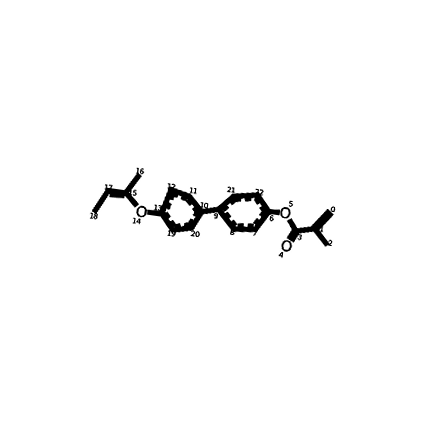 C=C(C)C(=O)Oc1ccc(-c2ccc(O/C(C)=C\C)cc2)cc1